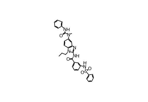 CCCn1c(NC(=O)c2cccc(NS(=O)(=O)c3ccccc3)c2)nc2cc(N(C)C(=O)Nc3ccccc3)ccc21